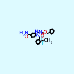 CC(F)(F)c1ccccc1Cn1c(NC(=O)OCc2ccccc2)nc2cc(C(N)=O)ccc21